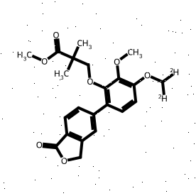 [2H]C([2H])Oc1ccc(-c2ccc3c(c2)COC3=O)c(OCC(C)(C)C(=O)OC)c1OC